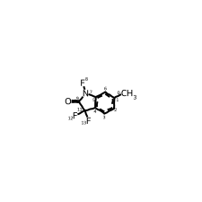 Cc1ccc2c(c1)N(F)C(=O)C2(F)F